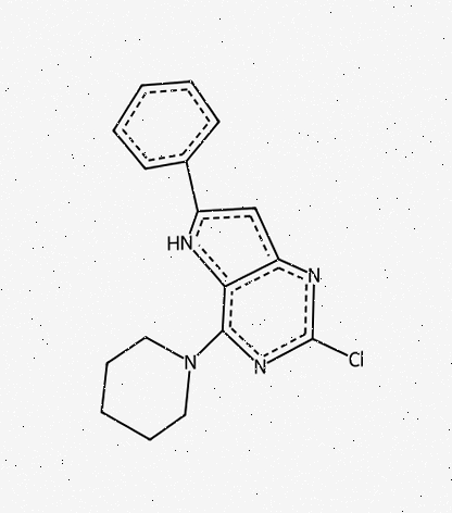 Clc1nc(N2CCCCC2)c2[nH]c(-c3ccccc3)cc2n1